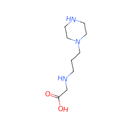 O=C(O)CNCCCN1CCNCC1